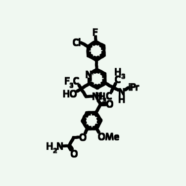 COc1cc(C(=O)NCC(O)(c2cc(C(C)(C)NC(C)C)cc(-c3ccc(F)c(Cl)c3)n2)C(F)(F)F)ccc1OCC(N)=O